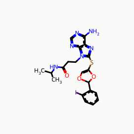 CC(C)NC(=O)CCn1c(SC2=COC(c3ccccc3I)O2)nc2c(N)ncnc21